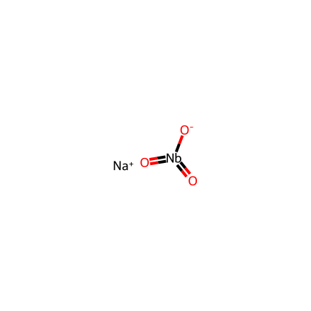 [Na+].[O]=[Nb](=[O])[O-]